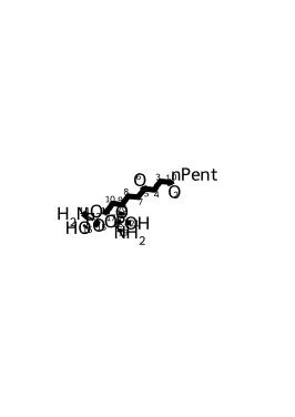 CCCCCC(=O)CCC(=O)CCCCC(OP(N)(=O)O)OP(N)(=O)O